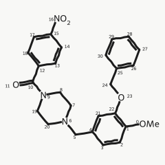 COc1ccc(CN2CCN(C(=O)c3ccc([N+](=O)[O-])cc3)CC2)cc1OCc1ccccc1